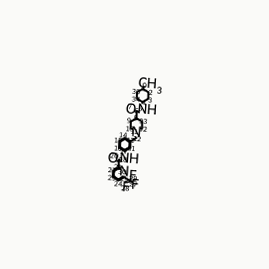 CC1CCC(NC(=O)C2CCN(Cc3cccc(NC(=O)c4cccc(C(F)(F)F)n4)c3)CC2)CC1